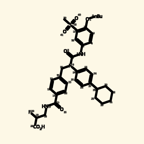 CCCCOc1ccc(NC(=O)N(Cc2ccc(C(=O)NCC(F)C(=O)O)cc2)c2ccc(C3CCCCC3)cc2)cc1S(C)(=O)=O